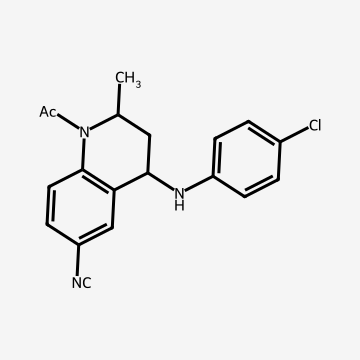 [C-]#[N+]c1ccc2c(c1)C(Nc1ccc(Cl)cc1)CC(C)N2C(C)=O